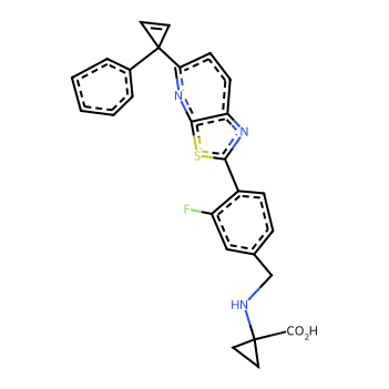 O=C(O)C1(NCc2ccc(-c3nc4ccc(C5(c6ccccc6)C=C5)nc4s3)c(F)c2)CC1